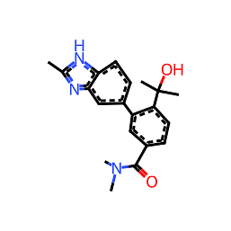 Cc1nc2cc(-c3cc(C(=O)N(C)C)ccc3C(C)(C)O)ccc2[nH]1